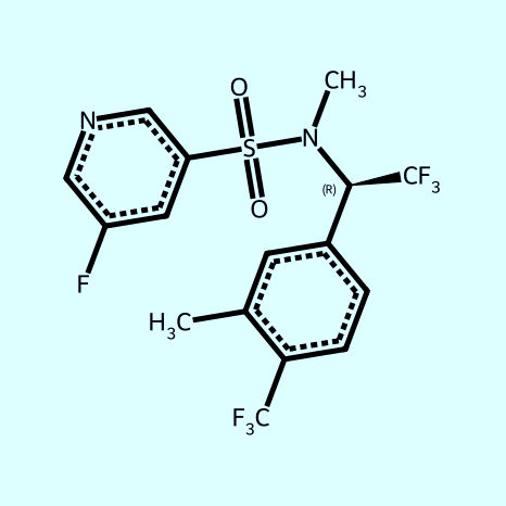 Cc1cc([C@@H](N(C)S(=O)(=O)c2cncc(F)c2)C(F)(F)F)ccc1C(F)(F)F